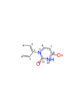 C=C/C(=C\C)n1ccc(=O)[nH]c1=O